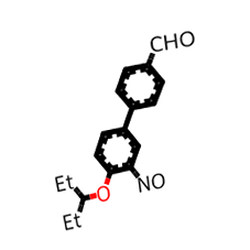 CCC(CC)Oc1ccc(-c2ccc(C=O)cc2)cc1N=O